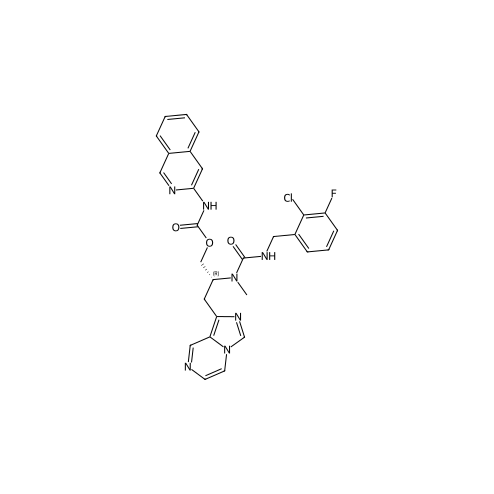 CN(C(=O)NCc1cccc(F)c1Cl)[C@@H](COC(=O)Nc1cc2ccccc2cn1)Cc1ncn2ccncc12